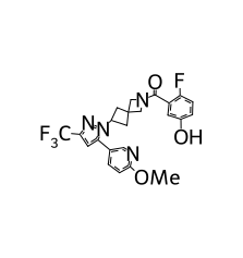 COc1ccc(-c2cc(C(F)(F)F)nn2C2CC3(C2)CN(C(=O)c2cc(O)ccc2F)C3)cn1